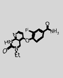 CCN1Cc2c(Oc3ccc(C(N)=O)cc3F)ccnc2NC1=O